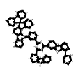 c1ccc(-c2cccc3c2oc2cc(-c4nc(-c5cccc(-n6c7ccccc7c7ccc8c(c76)-c6ccccc6C86c7ccccc7-c7ccccc76)c5)nc(-c5cccc6sc7ccccc7c56)n4)ccc23)cc1